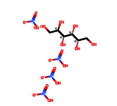 O=[N+]([O-])O.O=[N+]([O-])O.O=[N+]([O-])O.O=[N+]([O-])O.OC[C@@H](O)[C@@H](O)[C@H](O)[C@@H](O)CO